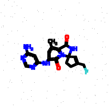 Cc1cc(Nc2cc(N)ncn2)c(=O)n2c1C(=O)NC21C=C(CF)CC1